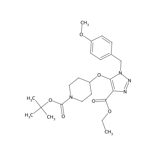 CCOC(=O)c1nnn(Cc2ccc(OC)cc2)c1OC1CCN(C(=O)OC(C)(C)C)CC1